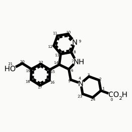 O=C(O)C1CCN(CC2Nc3ncccc3C2c2cccc(CO)c2)CC1